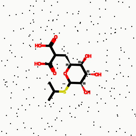 CC(C)SC1O[C@H](CC(C(=O)O)C(=O)O)[C@@H](O)[C@H](O)[C@@H]1O